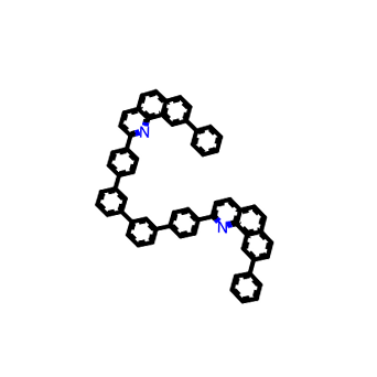 c1ccc(-c2ccc3ccc4ccc(-c5ccc(-c6cccc(-c7cccc(-c8ccc(-c9ccc%10ccc%11ccc(-c%12ccccc%12)cc%11c%10n9)cc8)c7)c6)cc5)nc4c3c2)cc1